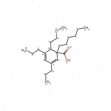 CCCCCCC1(C(=O)O)C=C(CCC)C=C(CCC)C1CCOC